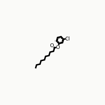 CCCCCCCCCC(=O)Oc1[c]ccc(Cl)c1